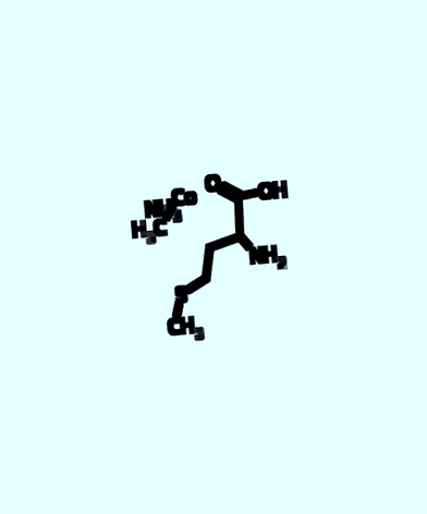 CSCCC(N)C(=O)O.N.[CH3][Co]